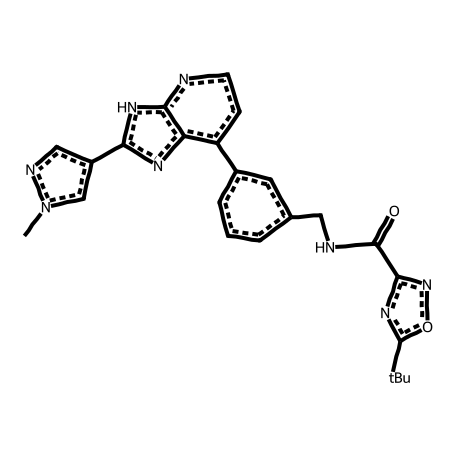 Cn1cc(-c2nc3c(-c4cccc(CNC(=O)c5noc(C(C)(C)C)n5)c4)ccnc3[nH]2)cn1